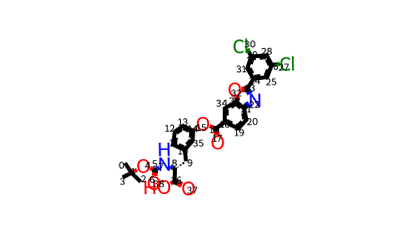 CC(C)(C)OC(=O)N[C@H](Cc1cccc(OC(=O)c2ccc3nc(-c4cc(Cl)cc(Cl)c4)oc3c2)c1)C(=O)O